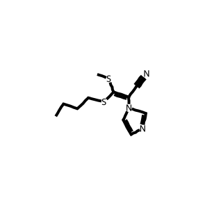 CCCCSC(SC)=C(C#N)n1ccnc1